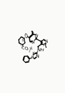 Cc1nc(-c2cnn(C)c2CNc2ncn(-c3ccccc3)n2)ncc1O[C@H]1CCC[C@H](C(=O)O)C1